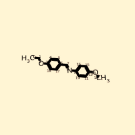 CCOc1ccc(/C=N/c2ccc(OC)cc2)cc1